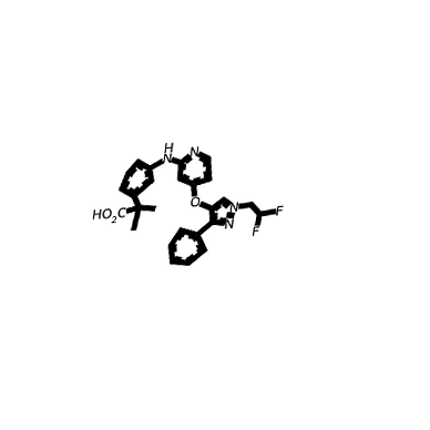 CC(C)(C(=O)O)c1cccc(Nc2cc(Oc3cn(CC(F)F)nc3-c3ccccc3)ccn2)c1